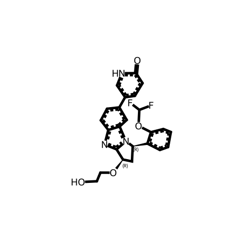 O=c1ccc(-c2ccc3nc4n(c3c2)[C@@H](c2ccccc2OC(F)F)C[C@H]4OCCO)c[nH]1